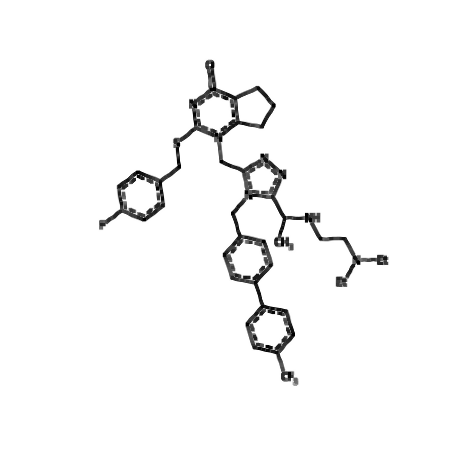 CCN(CC)CCNC(C)c1nnc(Cn2c(SCc3ccc(F)cc3)nc(=O)c3c2CCC3)n1Cc1ccc(-c2ccc(C(F)(F)F)cc2)cc1